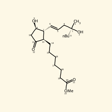 CCCC[C@](C)(O)CC=C[C@H]1[C@H](O)CC(=O)[C@@H]1CCCCCCC(=O)OC